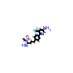 CCN(C=O)C(=N)CCCc1ccc(-c2ncc(N)cc2C(F)(F)F)cc1